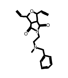 C=CC1OC(C=C)C2C(=O)N(CCN(C)Cc3ccccc3)C(=O)C12